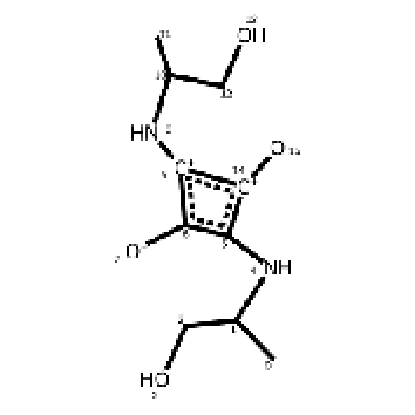 CC(CO)Nc1c([O-])[c+](NC(C)CO)[c+]1[O-]